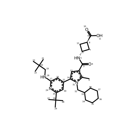 Cc1c(C(=O)N[C@H]2C[C@H](C(=O)O)C2)cc(-c2cc(NCC(C)(C)C)nc(C(C)(C)C)c2)n1CC1CCCCC1